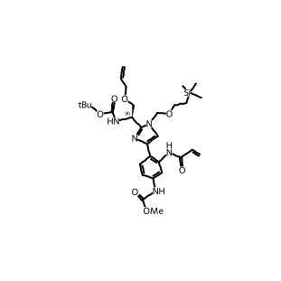 C=CCOC[C@H](NC(=O)OC(C)(C)C)c1nc(-c2ccc(NC(=O)OC)cc2NC(=O)C=C)cn1COCC[Si](C)(C)C